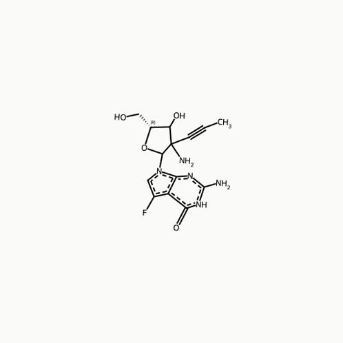 CC#CC1(N)C(O)[C@@H](CO)OC1n1cc(F)c2c(=O)[nH]c(N)nc21